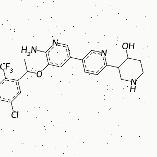 CC(Oc1cc(-c2ccc(C3CNCCC3O)nc2)cnc1N)c1cc(Cl)ccc1C(F)(F)F